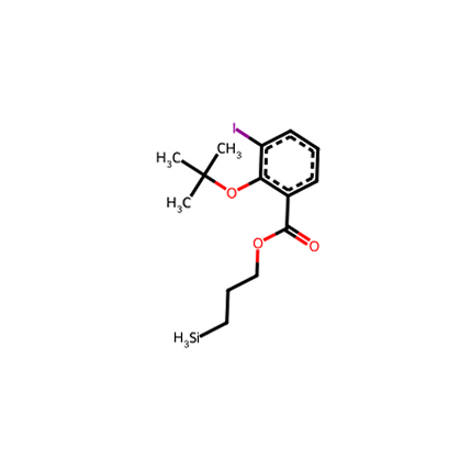 CC(C)(C)Oc1c(I)cccc1C(=O)OCCC[SiH3]